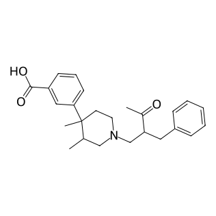 CC(=O)C(Cc1ccccc1)CN1CCC(C)(c2cccc(C(=O)O)c2)C(C)C1